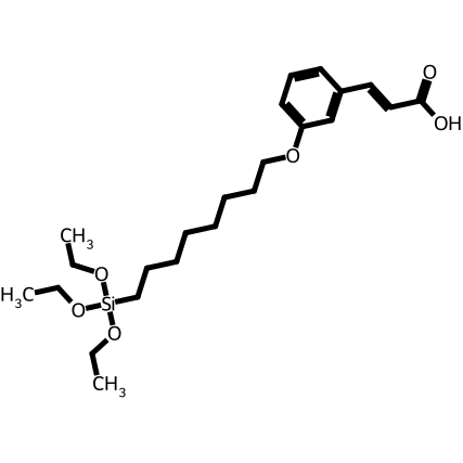 CCO[Si](CCCCCCCCOc1cccc(/C=C/C(=O)O)c1)(OCC)OCC